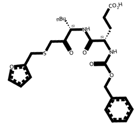 CCCC[C@H](NC(=O)[C@H](CCC(=O)O)NC(=O)OCc1ccccc1)C(=O)CSCc1ccco1